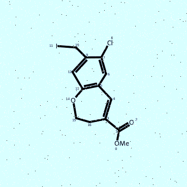 COC(=O)C1=Cc2cc(Cl)c(CI)cc2OCC1